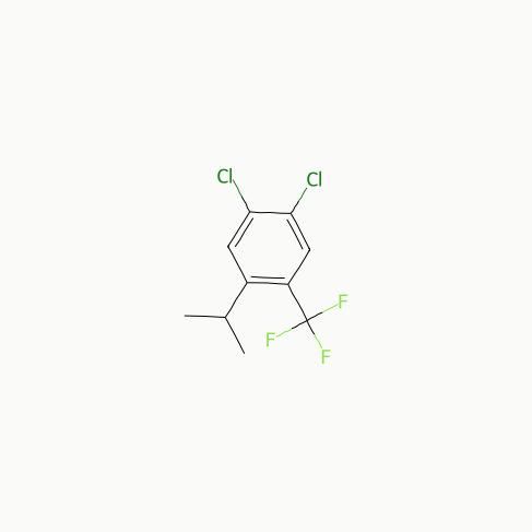 CC(C)c1cc(Cl)c(Cl)cc1C(F)(F)F